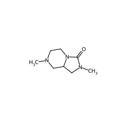 CN1CCN2C(=O)N(C)CC2C1